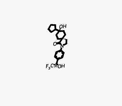 O=C1N(c2ccc([C@@H](O)C(F)(F)F)cc2)CC[C@]12CC[C@@](O)(C1CCCC1)CC2